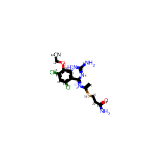 C=C(/N=C(\N=C(N)N)c1cc(OCC#N)c(Cl)cc1Cl)SCCC(N)=O